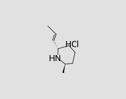 CC=C[C@@H]1CCC[C@@H](C)N1.Cl